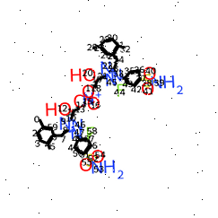 Cc1ccc(C)c(Cc2nc(C(O)CO[N+](=O)OCC(O)c3nc(Cc4cc(C)ccc4C)n(-c4ccc(S(N)(=O)=O)cc4F)n3)nn2-c2ccc(S(N)(=O)=O)cc2F)c1